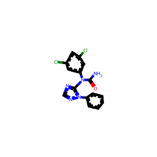 NC(=O)N(c1cc(Cl)cc(Cl)c1)c1ncnn1-c1ccccc1